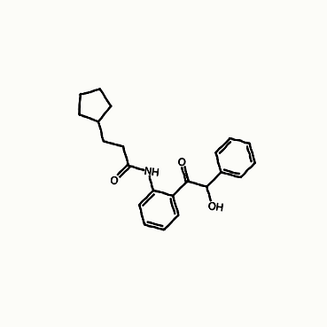 O=C(CCC1CCCC1)Nc1ccccc1C(=O)C(O)c1ccccc1